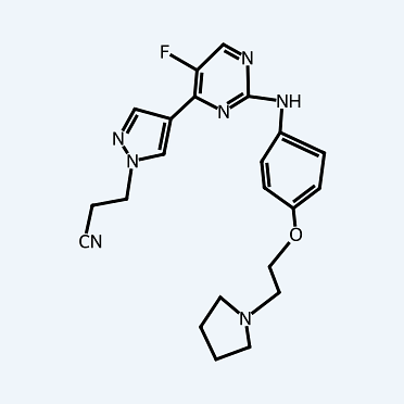 N#CCCn1cc(-c2nc(Nc3ccc(OCCN4CCCC4)cc3)ncc2F)cn1